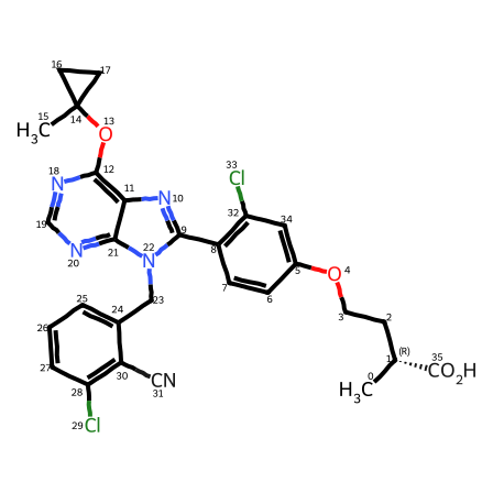 C[C@H](CCOc1ccc(-c2nc3c(OC4(C)CC4)ncnc3n2Cc2cccc(Cl)c2C#N)c(Cl)c1)C(=O)O